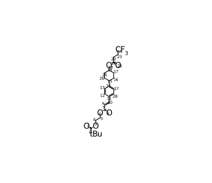 CC(C)(C)C(=O)OCCOC(=O)/C=C/c1ccc(C2CCC(OC(=O)CCC(F)(F)F)CC2)cc1